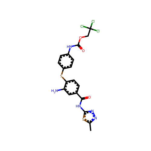 Cc1nnc(NC(=O)c2ccc(Sc3ccc(NC(=O)OCC(Cl)(Cl)Cl)cc3)c(N)c2)s1